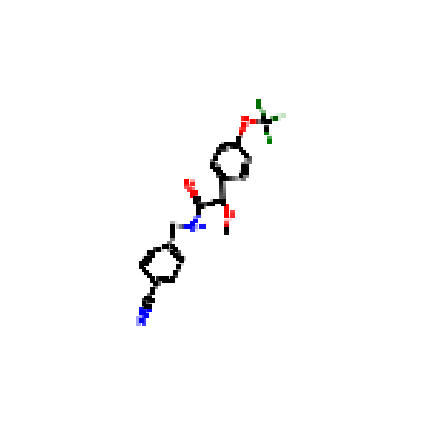 COC(C(=O)NCc1ccc(C#N)cc1)c1ccc(OC(F)(F)F)cc1